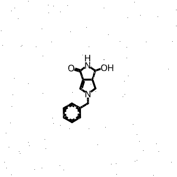 O=C1NC(O)C2CN(Cc3ccccc3)C=C12